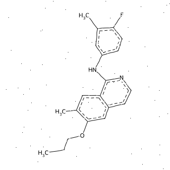 CCCOc1cc2ccnc(Nc3ccc(F)c(C)c3)c2cc1C